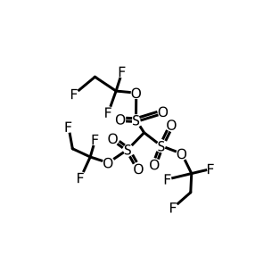 O=S(=O)(OC(F)(F)CF)C(S(=O)(=O)OC(F)(F)CF)S(=O)(=O)OC(F)(F)CF